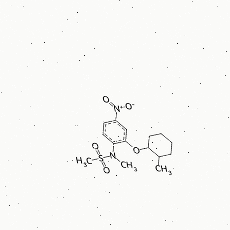 CC1CCCCC1Oc1cc([N+](=O)[O-])ccc1N(C)S(C)(=O)=O